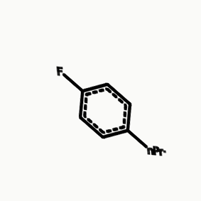 [CH2]C[CH]c1ccc(F)cc1